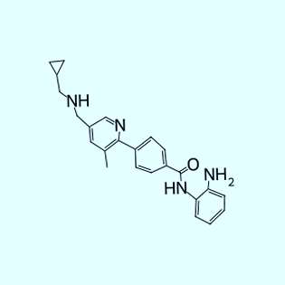 Cc1cc(CNCC2CC2)cnc1-c1ccc(C(=O)Nc2ccccc2N)cc1